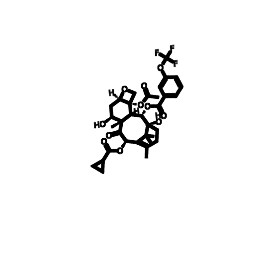 CC(=O)O[C@@]12CO[C@@H]1C[C@H](O)[C@@]1(C)C(=O)[C@H](OC(=O)C3CC3)C3=C(C)CC[C@@](O)([C@@H](OC(=O)c4cccc(OC(F)(F)F)c4)[C@H]21)C3(C)C